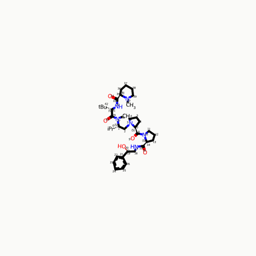 CC(C)[C@@H](CN1CCC[C@H]1C(=O)N1CCC[C@H]1C(=O)NC[C@@H](O)c1ccccc1)N(C)C(=O)[C@@H](NC(=O)[C@H]1CCCCN1C)C(C)(C)C